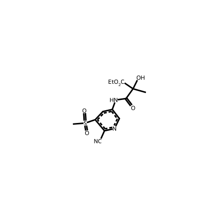 CCOC(=O)C(C)(O)C(=O)Nc1cnc(C#N)c(S(C)(=O)=O)c1